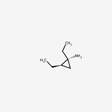 CC[C@@H]1C[C@]1(N)CC